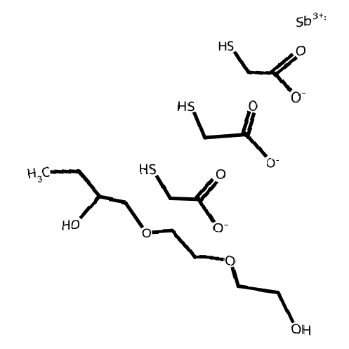 CCC(O)COCCOCCO.O=C([O-])CS.O=C([O-])CS.O=C([O-])CS.[Sb+3]